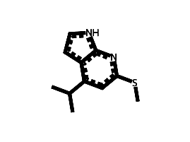 CSc1cc(C(C)C)c2cc[nH]c2n1